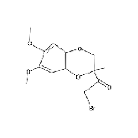 COc1cc2c(cc1OC)OC(C)(C(=O)CBr)CO2